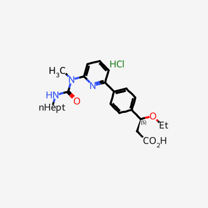 CCCCCCCNC(=O)N(C)c1cccc(-c2ccc([C@H](CC(=O)O)OCC)cc2)n1.Cl